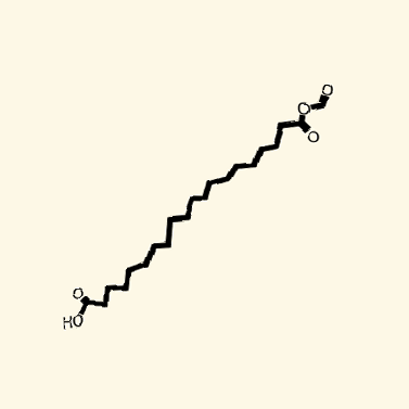 O=COC(=O)CCCCCCCCCCCCCCCCCCC(=O)O